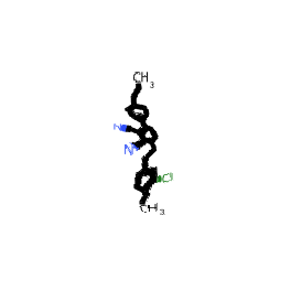 CCCc1ccc(CCc2ccc(C34CCC(CCC)(CC3)CC4)c(C#N)c2C#N)cc1Cl